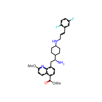 COC(=O)c1ccc(C[C@H](N)C2CCC(NC/C=C/c3cc(F)ccc3F)CC2)c2nc(OC)ccc12